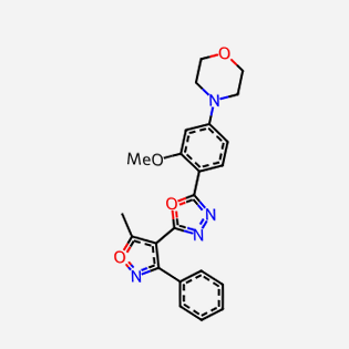 COc1cc(N2CCOCC2)ccc1-c1nnc(-c2c(-c3ccccc3)noc2C)o1